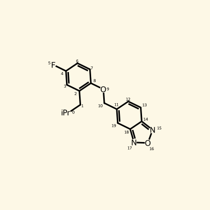 CC(C)Cc1cc(F)ccc1OCc1ccc2nonc2c1